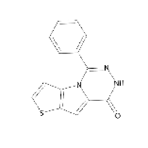 O=c1[nH]nc(-c2ccccc2)n2c1cc1sccc12